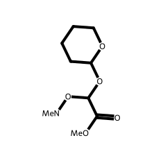 CNOC(OC1CCCCO1)C(=O)OC